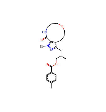 CCn1nc(C[C@@H](C)COC(=O)c2ccc(C)cc2)c2c1C(=O)NCCCOCCC2